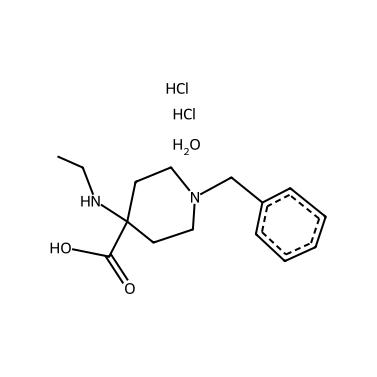 CCNC1(C(=O)O)CCN(Cc2ccccc2)CC1.Cl.Cl.O